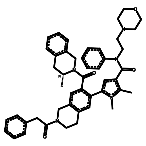 Cc1c(C(=O)N(CCN2CCOCC2)c2ccccc2)cc(-c2cc3c(cc2C(=O)N2Cc4ccccc4C[C@H]2C)CN(C(=O)Cc2ccccc2)CC3)n1C